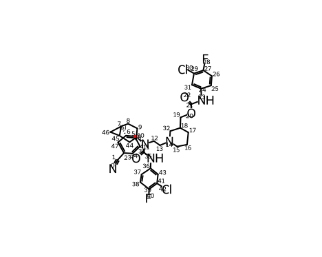 N#Cc1cccc([C@]23CC[C@@H](N(CCN4CCCC(COC(=O)Nc5ccc(F)c(Cl)c5)C4)C(=O)Nc4ccc(F)c(Cl)c4)CC2C3)c1